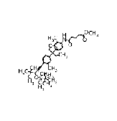 CCC(CC)(c1ccc(C#CC(O[Si](C)(C)C(C)(C)C)C(C)(C)C)c(C)c1)c1ccc(NC(=O)CCCC(=O)OC)c(C)c1